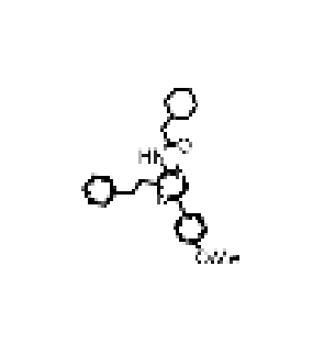 COc1ccc(-c2cnc(NC(=O)CC3CCCCC3)c(CCc3ccccc3)n2)cc1